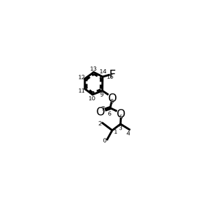 CC(C)C(C)OC(=O)Oc1ccccc1F